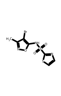 Cc1noc(NS(=O)(=O)c2nccs2)c1Br